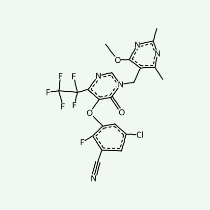 COc1nc(C)nc(C)c1Cn1cnc(C(F)(F)C(F)(F)F)c(Oc2cc(Cl)cc(C#N)c2F)c1=O